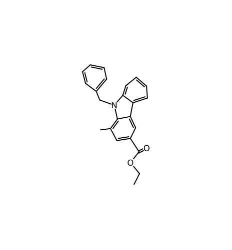 CCOC(=O)c1cc(C)c2c(c1)c1ccccc1n2Cc1ccccc1